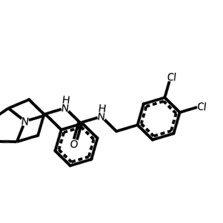 O=C(NCc1ccc(Cl)c(Cl)c1)NC1CC2CCC(C1)N2Cc1ccccc1